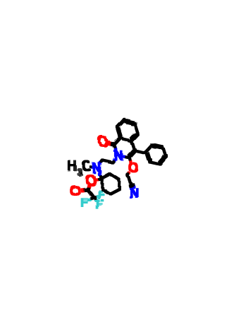 CN(CCn1c(OCC#N)c(-c2ccccc2)c2ccccc2c1=O)C1(OC(=O)C(F)(F)F)CCCCC1